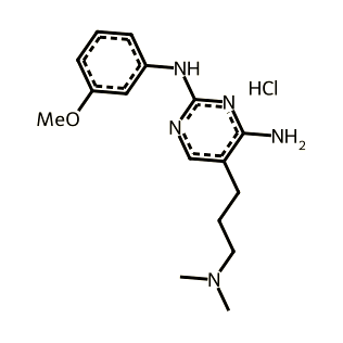 COc1cccc(Nc2ncc(CCCN(C)C)c(N)n2)c1.Cl